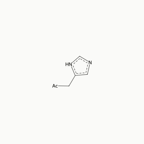 CC(=O)Cc1cnc[nH]1